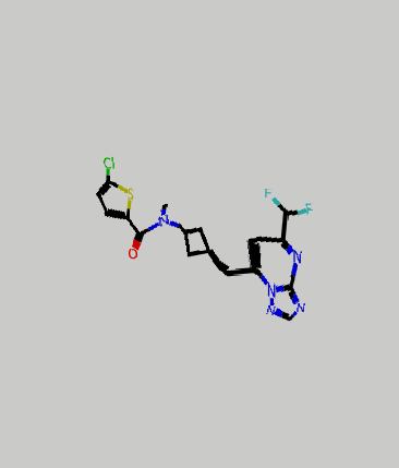 CN(C(=O)c1ccc(Cl)s1)C1CC(=Cc2cc(C(F)F)nc3ncnn23)C1